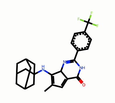 CC1=C(NC23CC4CC(CC(C4)C2)C3)C2N=C(c3ccc(C(F)(F)F)cc3)NC(=O)C2=C1